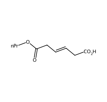 CCCOC(=O)CC=CCC(=O)O